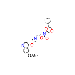 COc1ccc2nccc(OC3CN(C[C@@H]4CN(C5=COC=C(C6=CC=CCC6)O5)C(=O)O4)C3)c2c1